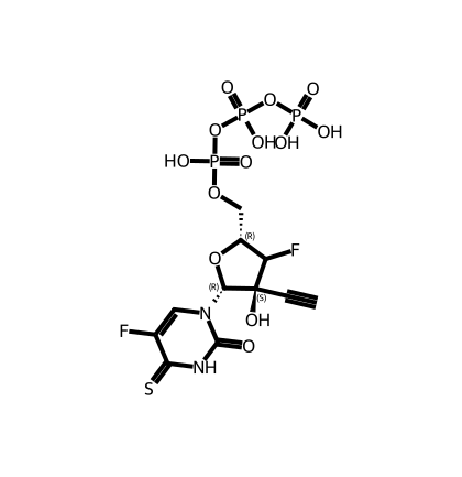 C#C[C@@]1(O)C(F)[C@@H](COP(=O)(O)OP(=O)(O)OP(=O)(O)O)O[C@H]1n1cc(F)c(=S)[nH]c1=O